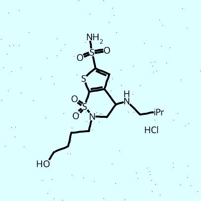 CC(C)CNC1CN(CCCCO)S(=O)(=O)c2sc(S(N)(=O)=O)cc21.Cl